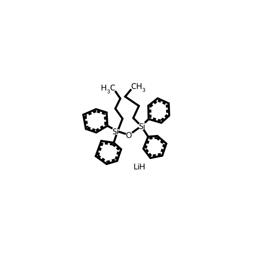 CCCC[Si](O[Si](CCCC)(c1ccccc1)c1ccccc1)(c1ccccc1)c1ccccc1.[LiH]